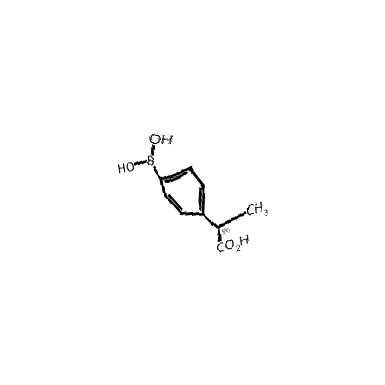 C[C@@H](C(=O)O)c1ccc(B(O)O)cc1